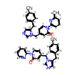 Cc1cccc(-n2ccc(Cn3cncc3Cc3ccc(C#N)cc3)cc2=O)n1.N#Cc1ccc(Cc2cncn2Cc2ccn(-c3ccccn3)c(=O)c2)cc1